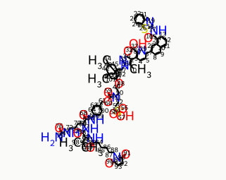 Cc1c(-c2ccc(-c3ccc4cccc(C(=O)Nc5nc6ccccc6s5)c4c3)nc2C(=O)O)cnn1CC12CC3(C)CC(C)(C1)CC(OCCN(CCS(=O)(=O)O)C(=O)OCc1ccc(NC(=O)[C@H](CCCNC(N)=O)NC(=O)[C@@H](NC(=O)CCCCCN4C(=O)C=CC4=O)C(C)C)cc1)(C3)C2